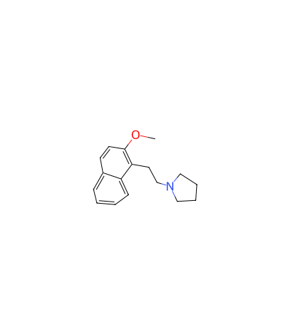 COc1ccc2ccccc2c1CCN1CCCC1